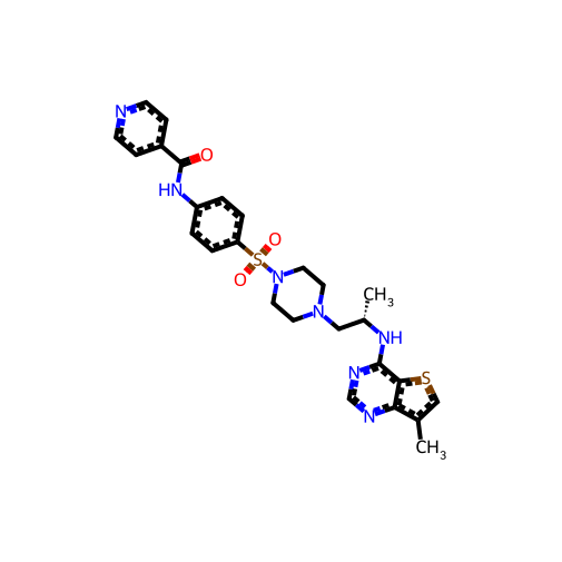 Cc1csc2c(N[C@@H](C)CN3CCN(S(=O)(=O)c4ccc(NC(=O)c5ccncc5)cc4)CC3)ncnc12